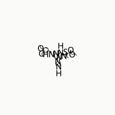 CCOC(=O)c1sc(Nc2nc(NCc3ccc(OC)c(OC)c3)cc(N3CCNCC3)n2)nc1C